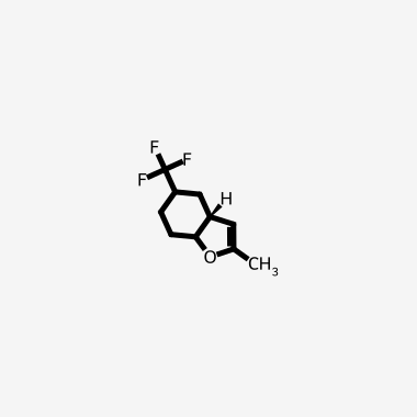 CC1=C[C@H]2CC(C(F)(F)F)CCC2O1